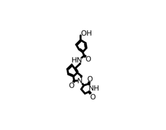 O=C1CCC(N2Cc3c(CNC(=O)c4ccc(CO)cc4)cccc3C2=O)C(=O)N1